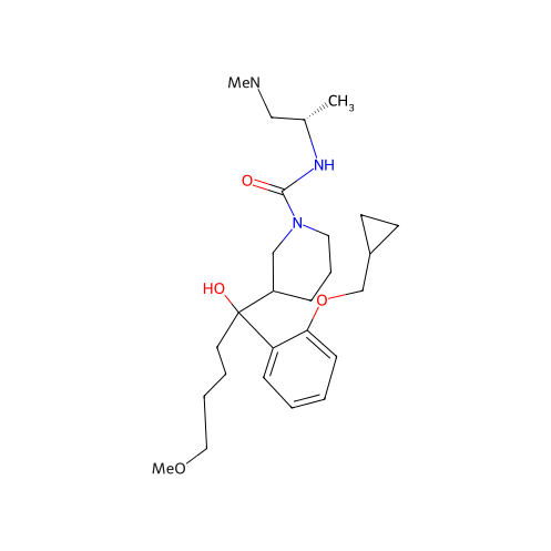 CNC[C@H](C)NC(=O)N1CCCC(C(O)(CCCCOC)c2ccccc2OCC2CC2)C1